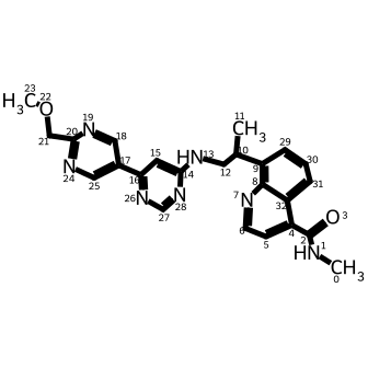 CNC(=O)c1ccnc2c(C(C)CNc3cc(-c4cnc(COC)nc4)ncn3)cccc12